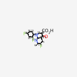 Cc1nc2c(cc1F)c(=O)c(C(=O)O)cn2-c1ccc(F)cc1F